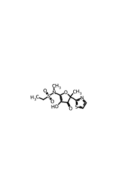 CCS(=O)(=O)N(C)C1=C(O)C(=O)C(C)(c2nccs2)O1